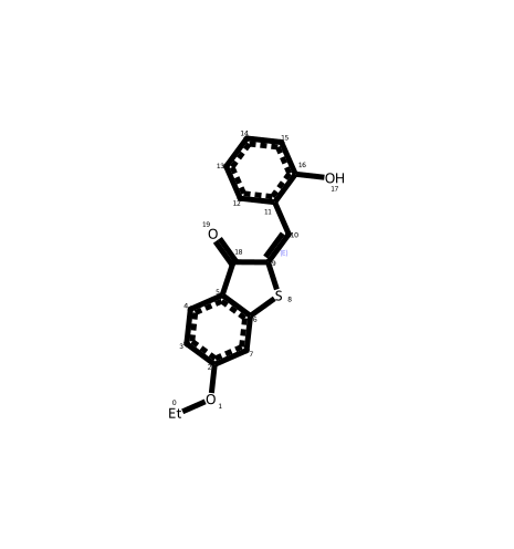 CCOc1ccc2c(c1)S/C(=C/c1ccccc1O)C2=O